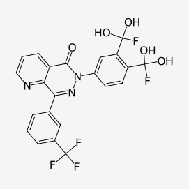 O=c1c2cccnc2c(-c2cccc(C(F)(F)F)c2)nn1-c1ccc(C(O)(O)F)c(C(O)(O)F)c1